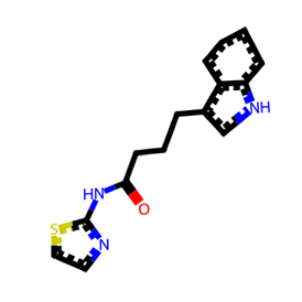 O=C(CCCc1c[nH]c2ccccc12)Nc1nccs1